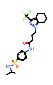 CC(C)NS(=O)(=O)c1ccc(NC(=O)CCCn2nc(C(F)(F)F)c3c2CCCC3)cc1